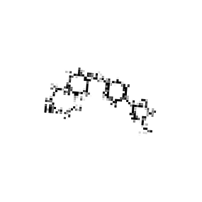 CCc1noc(-c2ccc(Oc3ccc4c(c3)CCNCC4)nc2)n1